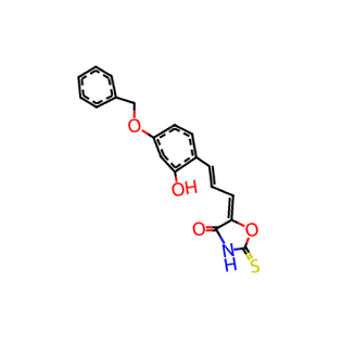 O=C1NC(=S)OC1=CC=Cc1ccc(OCc2ccccc2)cc1O